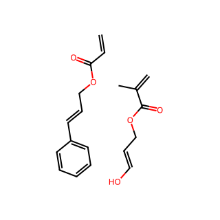 C=C(C)C(=O)OCC=CO.C=CC(=O)OCC=Cc1ccccc1